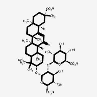 CC1(C)C2CC[C@]3(C)[C@H](C(=O)C=C4[C@@H]5C[C@@](C)(C(=O)O)CC[C@]5(C)CC[C@]43C)[C@@]2(C)CC[C@@H]1O[C@H]1O[C@H](C(=O)O)[C@@H](O)[C@H](O)[C@H]1O[C@@H]1O[C@H](C(=O)O)[C@@H](O)[C@H](O)[C@H]1O.N